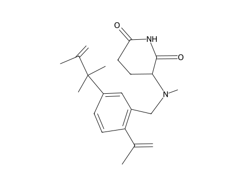 C=C(C)c1ccc(C(C)(C)C(=C)C)cc1CN(C)C1CCC(=O)NC1=O